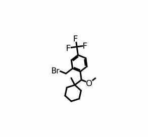 COC(c1ccc(C(F)(F)F)cc1CBr)C1(C)CCCCC1